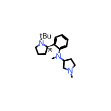 CN1CCC(N(C)c2ccccc2[C@H]2CCCN2C(C)(C)C)C1